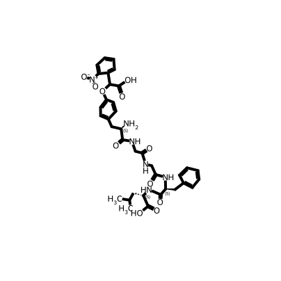 CC(C)C[C@H](NC(=O)[C@H](Cc1ccccc1)NC(=O)CNC(=O)CNC(=O)[C@@H](N)Cc1ccc(OC(C(=O)O)c2ccccc2[N+](=O)[O-])cc1)C(=O)O